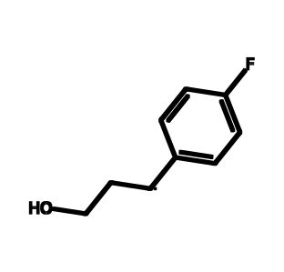 OCC[CH]c1ccc(F)cc1